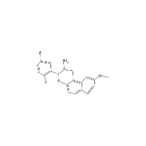 COc1ccc2ccc3c(c2c1)CC(N)C(c1cc(F)ccc1F)O3